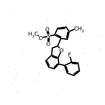 COS(=O)(=O)c1ccc(C)cc1C1Cc2cccc(-c3ccccc3F)c2O1